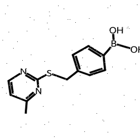 Cc1ccnc(SCc2ccc(B(O)O)cc2)n1